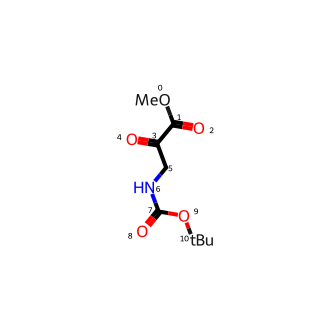 COC(=O)C(=O)CNC(=O)OC(C)(C)C